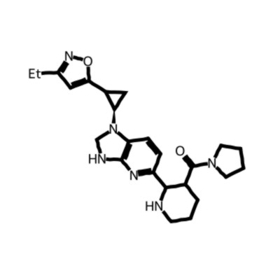 CCc1cc(C2C[C@H]2N2CNc3nc(C4NCCCC4C(=O)N4CCCC4)ccc32)on1